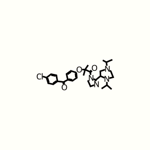 CC(C)N1CCN(C(C)C)C(C2=NCCN2C(=O)C(C)(C)Oc2ccc(C(=O)c3ccc(Cl)cc3)cc2)C1